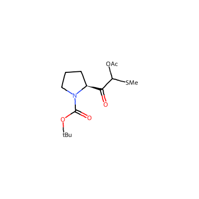 CSC(OC(C)=O)C(=O)[C@@H]1CCCN1C(=O)OC(C)(C)C